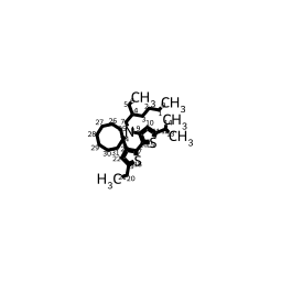 CCCCC(CC)CN1c2cc(C(C)C)sc2-c2sc(CC)cc2C12CCCCCCC2